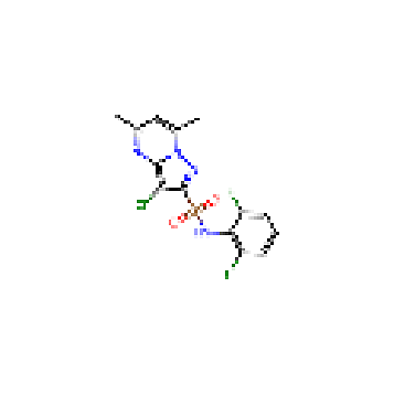 Cc1cc(C)n2nc(S(=O)(=O)Nc3c(F)cccc3F)c(Cl)c2n1